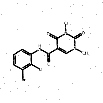 Cn1cc(C(=O)Nc2cccc(Br)c2Cl)c(=O)n(C)c1=O